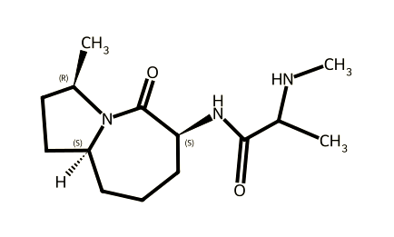 CNC(C)C(=O)N[C@H]1CCC[C@H]2CC[C@@H](C)N2C1=O